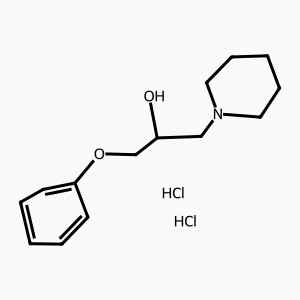 Cl.Cl.OC(COc1ccccc1)CN1CCCCC1